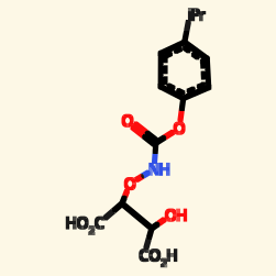 CC(C)c1ccc(OC(=O)NOC(C(=O)O)C(O)C(=O)O)cc1